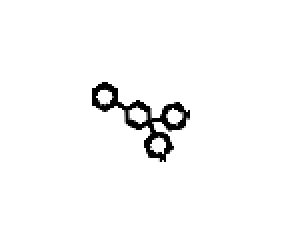 C1=CC(c2ccncc2)(c2ccncc2)C=CC1c1ccccc1